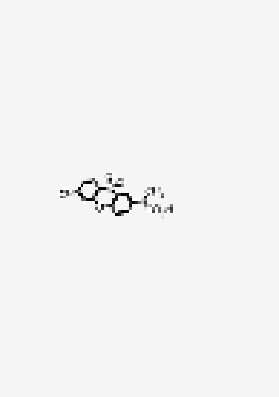 CC(C(=O)O)c1ccc2c(c1)S(=O)(=O)c1ccc(Cl)cc1O2